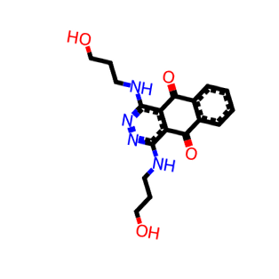 O=C1c2ccccc2C(=O)c2c(NCCCO)nnc(NCCCO)c21